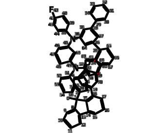 CC1(c2ccccc2)c2ccccc2-c2cccc(-c3ccc4oc5c(-c6cc(-c7ccccc7)cc(N(c7ccc(F)cc7)c7cccc(N(c8ccccc8)c8ccccc8)c7)c6)cccc5c4c3)c21